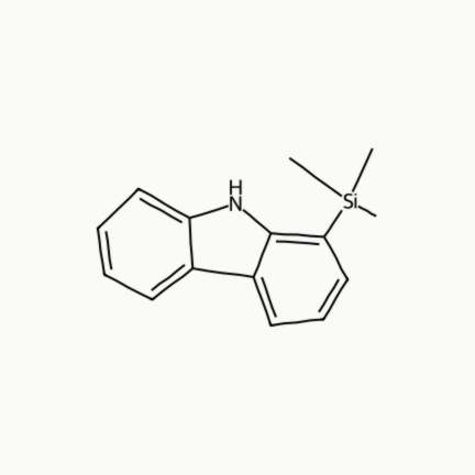 C[Si](C)(C)c1cccc2c1[nH]c1ccccc12